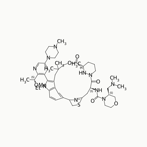 CCn1c(-c2cc(N3CCN(C)CC3)cnc2[C@H](C)OC)c2c3cc(ccc31)C1CSC(=N1)C[C@H](NC(=O)N1CCOC[C@@H]1CN(C)C)C(=O)N1CCC[C@@](C)(N1)C(=O)OCC(C)(C)C2